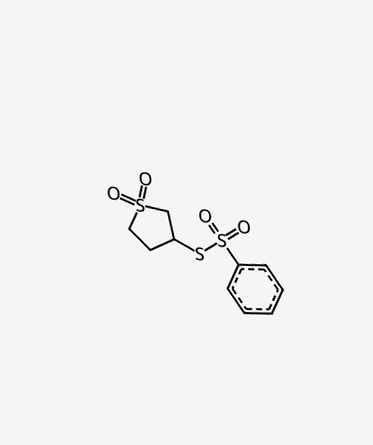 O=S1(=O)CCC(SS(=O)(=O)c2ccccc2)C1